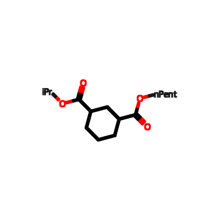 CCCCCOC(=O)C1CCCC(C(=O)OC(C)C)C1